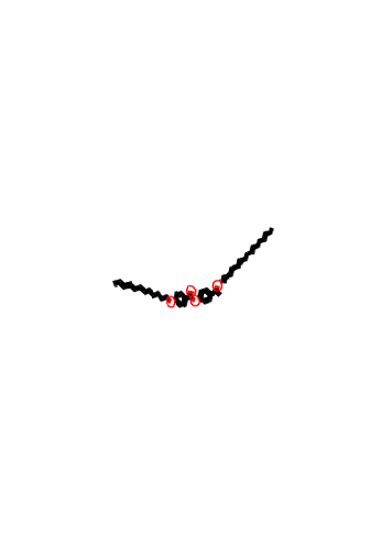 CCCCCCCCCCCCCCCCOC(C)c1ccc(OC(=O)c2ccc(OCCCCCCCCCCCC)cc2)cc1